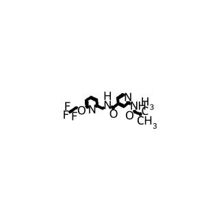 CC(C)C(=O)Nc1cc(C(=O)NCc2cccc(OCC(F)(F)F)n2)ccn1